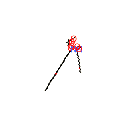 CC#CC#CC#CC#CC#CC#CC#CC#CC#CC#CC#CC#CC(=O)N[C@@H](CO[C@H]1OC(COC)[C@H](C)[C@H](C)C1C)[C@@H]1OC(C)(C)O[C@@H]1C=CCCCCCCCCCCCC